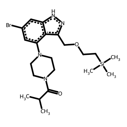 CC(C)C(=O)N1CCN(c2cc(Br)cc3[nH]nc(COCC[Si](C)(C)C)c23)CC1